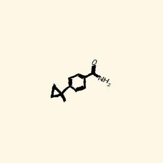 CC1(c2ccc(C(N)=O)cc2)CC1